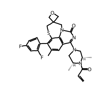 C=CC(=O)N1[C@H](C)CN(c2nc(=O)n3c4c(c(-c5ccc(F)cc5F)c(C)cc24)SCC2(COC2)C3)C[C@@H]1C